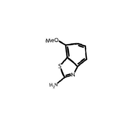 COc1cccc2nc(N)sc12